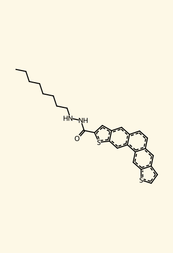 CCCCCCCCNNC(=O)c1cc2cc3ccc4cc5ccsc5cc4c3cc2s1